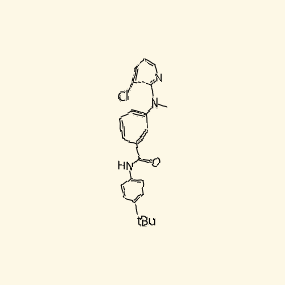 CN(c1cccc(C(=O)Nc2ccc(C(C)(C)C)cc2)c1)c1ncccc1Cl